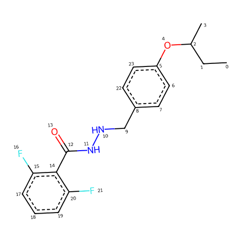 CCC(C)Oc1ccc(CNNC(=O)c2c(F)cccc2F)cc1